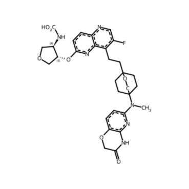 CN(c1ccc2c(n1)NC(=O)CO2)C12CCC(CCc3c(F)cnc4ccc(O[C@@H]5COC[C@H]5NC(=O)O)nc34)(CC1)OC2